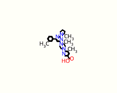 Cc1cccc(-c2cc(N3CCN(c4ncc(C(=O)O)cc4C)C[C@H]3C)nc(N3CCCC3C)n2)c1